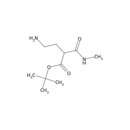 CNC(=O)C(CCN)C(=O)OC(C)(C)C